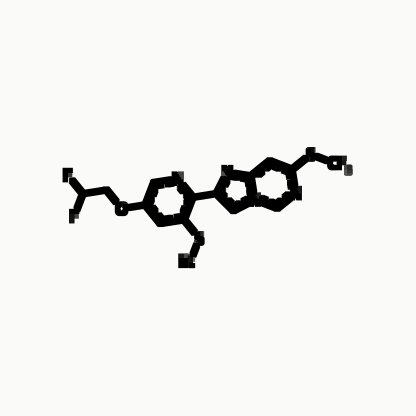 CCSc1cc(OCC(F)F)cnc1-c1cn2cnc(SC(F)(F)F)cc2n1